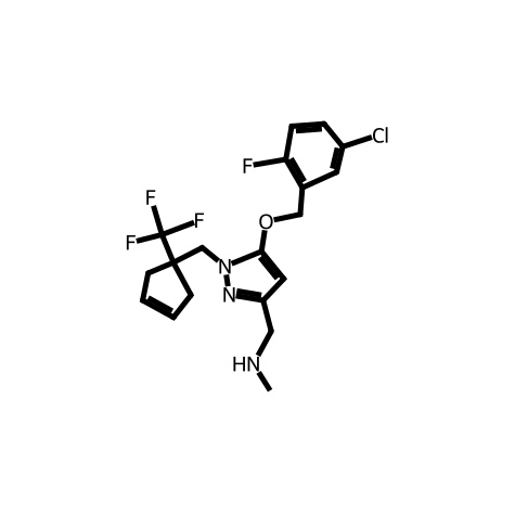 CNCc1cc(OCc2cc(Cl)ccc2F)n(CC2(C(F)(F)F)CC=CC2)n1